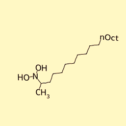 CCCCCCCCCCCCCCCCCC(C)N(O)O